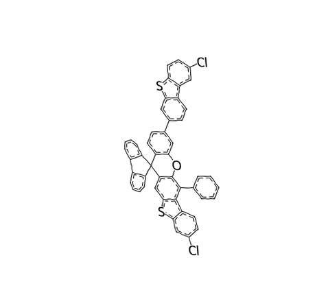 Clc1ccc2c(c1)sc1cc3c(c(-c4ccccc4)c12)Oc1cc(-c2ccc4c(c2)sc2ccc(Cl)cc24)ccc1C31c2ccccc2-c2ccccc21